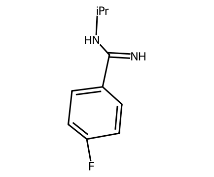 CC(C)NC(=N)c1ccc(F)cc1